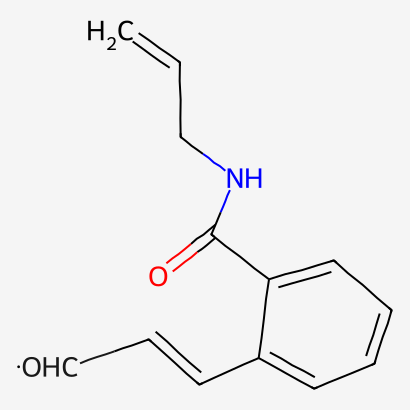 C=CCNC(=O)c1ccccc1/C=C/[C]=O